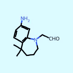 CC1(C)CCCN(CC=O)c2cc(N)ccc21